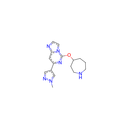 Cn1cc(-c2cc3nccn3c(OC3CCCNCC3)n2)cn1